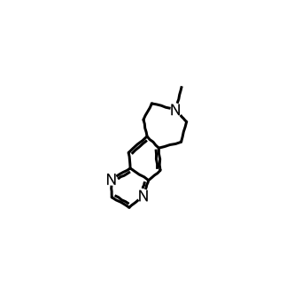 CN1CCc2cc3nccnc3cc2CC1